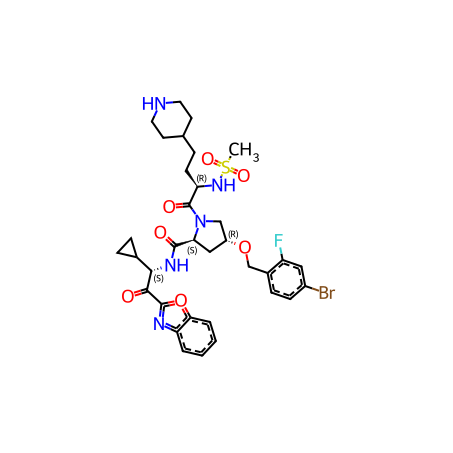 CS(=O)(=O)N[C@H](CCC1CCNCC1)C(=O)N1C[C@H](OCc2ccc(Br)cc2F)C[C@H]1C(=O)N[C@H](C(=O)c1nc2ccccc2o1)C1CC1